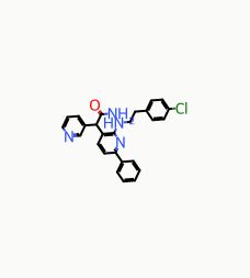 NC(=O)C(c1cccnc1)c1ccc(-c2ccccc2)nc1NCCc1ccc(Cl)cc1